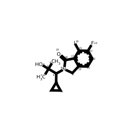 CC(C)(O)C(C1CC1)N1Cc2ccc(F)c(I)c2C1=O